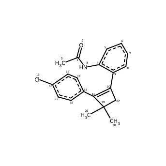 CC(=O)Nc1ccccc1C1=C(c2ccc(Cl)cc2)C(C)(C)C1